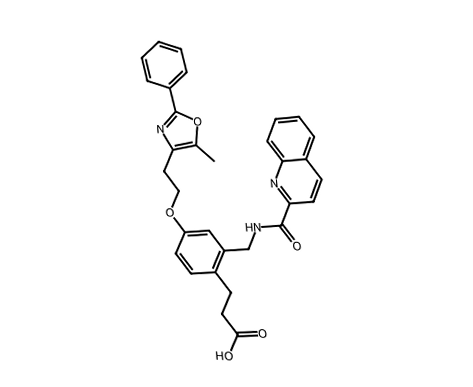 Cc1oc(-c2ccccc2)nc1CCOc1ccc(CCC(=O)O)c(CNC(=O)c2ccc3ccccc3n2)c1